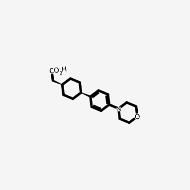 O=C(O)C[C@H]1CC[C@@H](c2ccc(N3CCOCC3)cc2)CC1